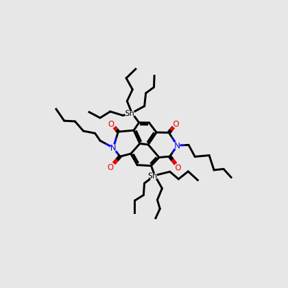 CCCCCCN1C(=O)c2c[c]([Sn]([CH2]CCC)([CH2]CCC)[CH2]CCC)c3c4c(c[c]([Sn]([CH2]CCC)([CH2]CCC)[CH2]CCC)c(c24)C1=O)C(=O)N(CCCCCC)C3=O